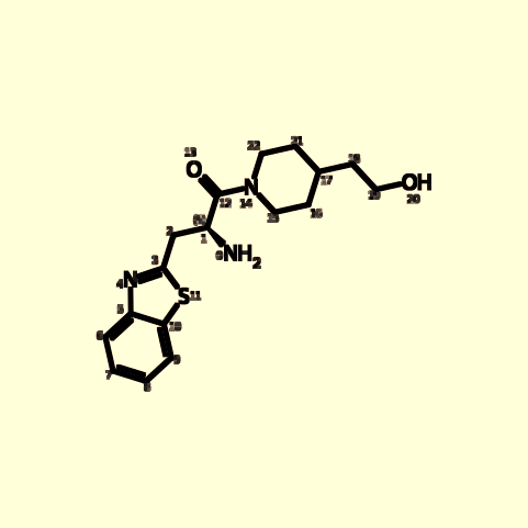 N[C@@H](Cc1nc2ccccc2s1)C(=O)N1CCC(CCO)CC1